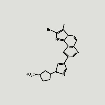 Cc1c(Br)nc2c3cc(-c4cnn([C@H]5CCN(C(=O)O)C5)c4)cnc3ccn12